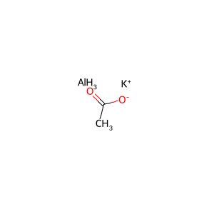 CC(=O)[O-].[AlH3].[K+]